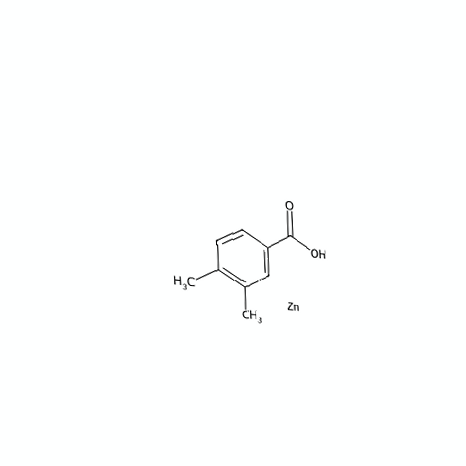 Cc1ccc(C(=O)O)cc1C.[Zn]